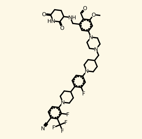 COc1cc(N2CCN(CC3CCN(c4ccc(C5CCN(c6ccc(C#N)c(C(F)(F)F)c6F)CC5)c(F)c4)CC3)CC2)cc(CNC2CCC(=O)NC2=O)c1C=O